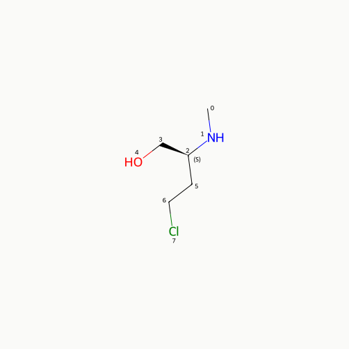 CN[C@H](CO)CCCl